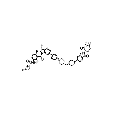 O=C1CC[C@H](N2Cc3cc(C4CCN(CC5CCN(c6ccc(-c7cnc8[nH]cc(C(=O)c9c(F)ccc(N[S+]([O-])N%10CCC(F)C%10)c9F)c8c7)cc6)CC5)CC4)ccc3C2=O)C(=O)N1